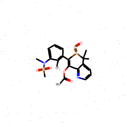 CN(c1cccc(C2=C(OC(=O)C(C)(C)C)c3ncccc3C(C)(C)S2=S=O)c1C(F)(F)F)S(C)(=O)=O